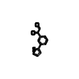 O=CC(=O)c1cccc(-c2cccs2)c1